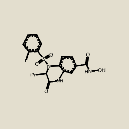 CC(C)C1C(=O)Nc2cc(C(=O)NO)ccc2N1S(=O)(=O)c1ccccc1I